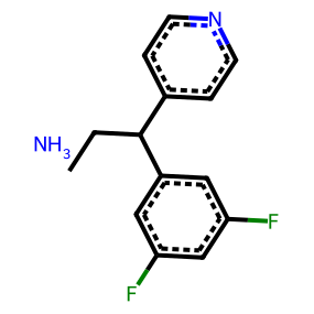 CCC(c1ccncc1)c1cc(F)cc(F)c1.N